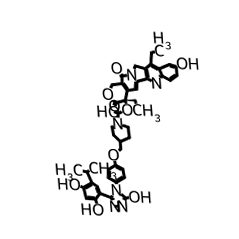 CCc1c2c(nc3ccc(O)cc13)-c1cc3c(c(=O)n1C2)COC(=O)[C@@]3(CC)OC(O)N1CCC(COc2ccc(-n3c(O)nnc3-c3cc(C(C)C)c(O)cc3O)cc2)CC1